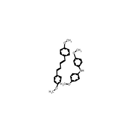 COc1ccc(/C=C/C=C/c2ccc(OC)cc2)cc1.COc1ccc(Nc2ccc(OC)cc2)cc1